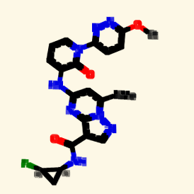 CCOc1ccc(-n2cccc(Nc3cc(NC)n4ncc(C(=O)N[C@H]5C[C@H]5F)c4n3)c2=O)nn1